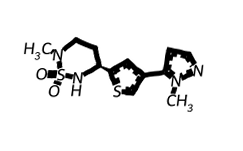 CN1CC[C@@H](c2cc(-c3ccnn3C)cs2)NS1(=O)=O